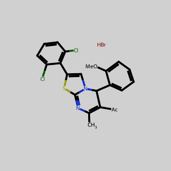 Br.COc1ccccc1C1C(C(C)=O)=C(C)N=C2SC(c3c(Cl)cccc3Cl)=CN21